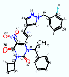 CC(c1ccccc1)n1c(/C=C/c2cnn(Cc3ccccc3F)c2)c([N+](=O)[O-])c(=O)n(C2CCC2)c1=O